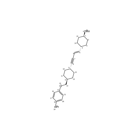 CCCC[C@H]1CC[C@H](C=CC#C[C@H]2CC[C@H](COc3ccc(CCC)cc3)CC2)CC1